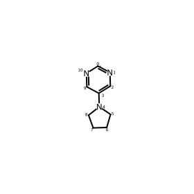 [c]1ncc(N2CCCC2)cn1